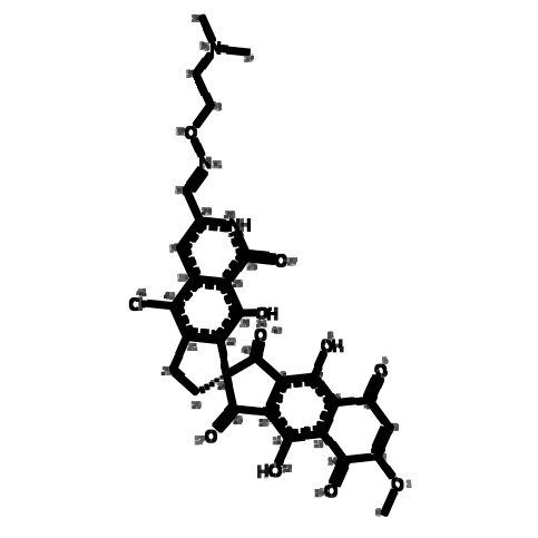 COC1=CC(=O)c2c(O)c3c(c(O)c2C1=O)C(=O)[C@]1(CCc2c1c(O)c1c(=O)[nH]c(C=NOCCN(C)C)cc1c2Cl)C3=O